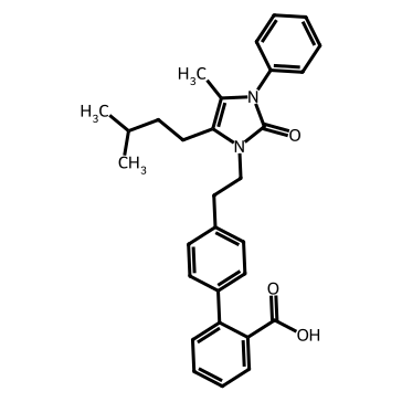 Cc1c(CCC(C)C)n(CCc2ccc(-c3ccccc3C(=O)O)cc2)c(=O)n1-c1ccccc1